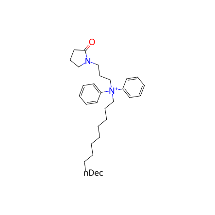 CCCCCCCCCCCCCCCCCC[N+](CCCN1CCCC1=O)(c1ccccc1)c1ccccc1